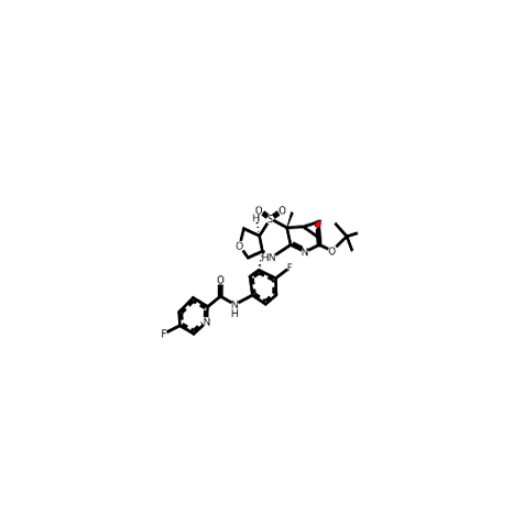 CC(C)(C)OC(=O)/N=C1/N[C@@]2(c3cc(NC(=O)c4ccc(F)cn4)ccc3F)COC[C@H]2S(=O)(=O)[C@]1(C)C1CC1